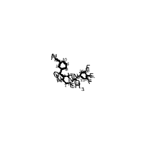 C[C@H]1Cc2noc(-c3cccc(C#N)c3)c2CN1C(=O)Nc1cc(F)c(F)c(F)c1